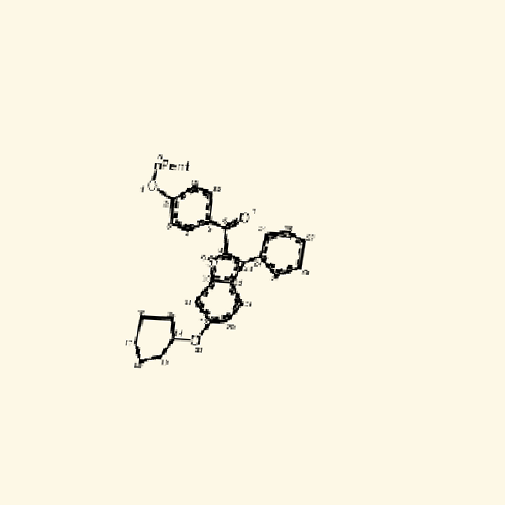 CCCCCOc1ccc(C(=O)c2sc3cc(OC4CCCCC4)ccc3c2-c2ccccc2)cc1